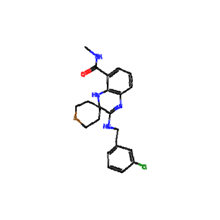 CNC(=O)c1cccc2c1NC1(CCSCC1)C(NCc1cccc(Cl)c1)=N2